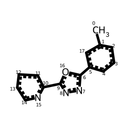 Cc1cccc(-c2nnc(-c3ccccn3)o2)c1